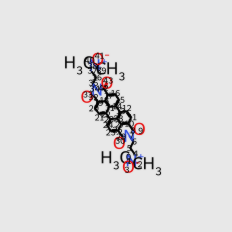 C[N+](C)([O-])CCCN1C(=O)c2ccc3c4ccc5c6c(ccc(c7ccc(c2c37)C1=O)c64)C(=O)N(CCC[N+](C)(C)[O-])C5=O